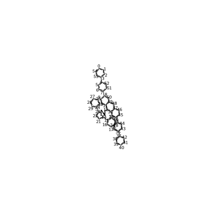 c1ccc(-c2ccc(-c3ccc4c(-n5c(-c6ccccc6)ccc5-c5ccccc5)c5cc(-c6ccc(-c7ccccc7)cc6)ccc5cc4c3)cc2)cc1